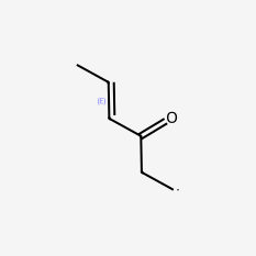 [CH2]CC(=O)/C=C/C